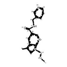 Cc1cn(SOI)c2ncc(C(=O)NCc3cccnc3)cc12